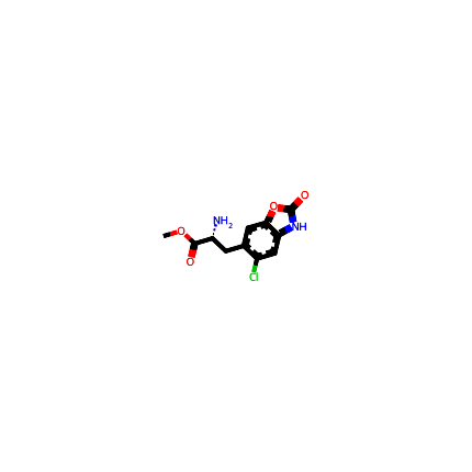 COC(=O)[C@H](N)Cc1cc2oc(=O)[nH]c2cc1Cl